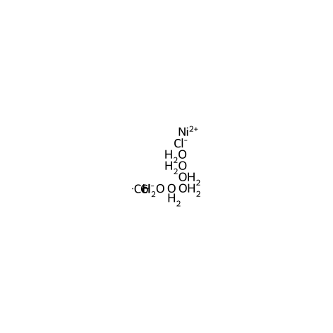 O.O.O.O.O.O.[Cl-].[Cl-].[Co].[Ni+2]